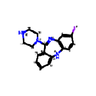 Ic1ccc2c(c1)N=C(N1CCNCC1)c1ccccc1N2